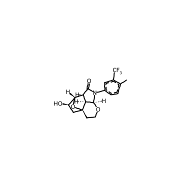 Cc1ccc(N2C(=O)[C@@H]3[C@@H]4O[C@@]5(CCO[C@H]2[C@H]35)C[C@H]4O)cc1C(F)(F)F